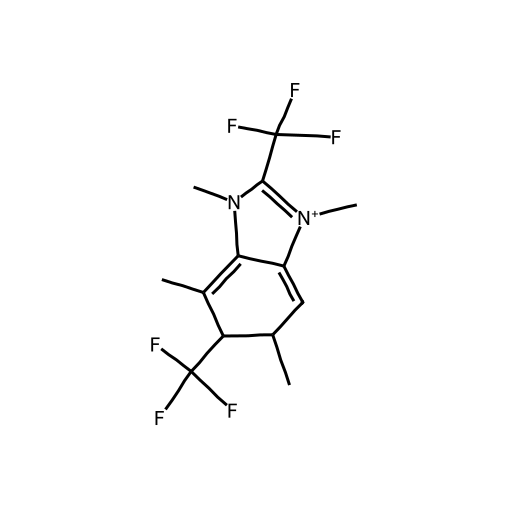 CC1=c2c([n+](C)c(C(F)(F)F)n2C)=CC(C)C1C(F)(F)F